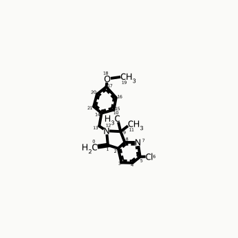 C=C1c2ccc(Cl)nc2C(C)(C)N1Cc1ccc(OC)cc1